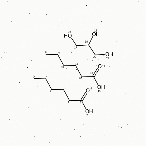 CCCCCC(=O)O.CCCCCC(=O)O.OCC(O)CO